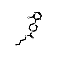 CCCCOC(=O)N1CCN(c2nccnc2Cl)CC1